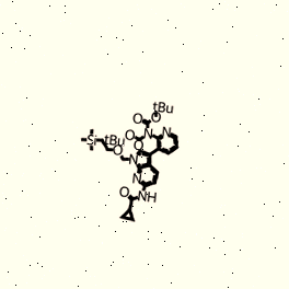 CC(C)(C)OC(=O)N(C(=O)OC(C)(C)C)c1ncccc1-c1cn(COCC[Si](C)(C)C)c2nc(NC(=O)C3CC3)ccc12